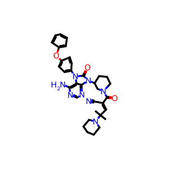 CC(C)(C=C(C#N)C(=O)N1CCCC(n2c(=O)n(-c3ccc(Oc4ccccc4)cc3)c3c(N)ncnc32)C1)N1CCCCC1